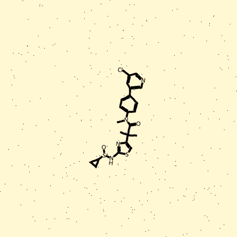 CN(C(=O)C(C)(C)c1csc(N[S+]([O-])C2CC2)n1)c1ccc(-c2cncc(Cl)c2)cc1